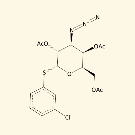 CC(=O)OC[C@H]1O[C@H](Sc2cccc(Cl)c2)[C@H](OC(C)=O)[C@@H](N=[N+]=[N-])[C@H]1OC(C)=O